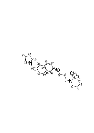 CC1CCCCN1CCCOc1ccc2c(c1)CCC(CN1CCCC1)C2